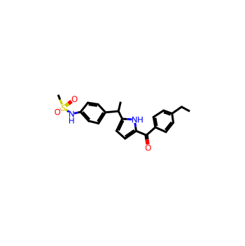 CCc1ccc(C(=O)c2ccc(C(C)c3ccc(NS(C)(=O)=O)cc3)[nH]2)cc1